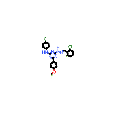 FCOc1ccc(-c2nc(NN=Cc3c(F)cccc3Cl)nc(Nc3ccc(Cl)cc3)n2)cc1